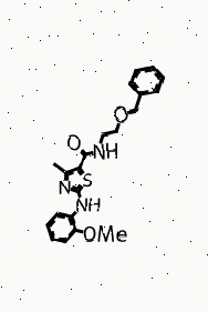 COc1ccccc1Nc1nc(C)c(C(=O)NCCOCc2ccccc2)s1